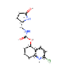 O=C1CC[C@@H](CNC(=O)OC2CCCc3nc(Cl)ccc32)N1